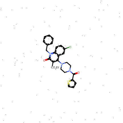 CCOC(=O)c1c(N2CCN(C(=O)c3cccs3)CC2)c2cc(Cl)ccc2n(Cc2ccccc2)c1=O